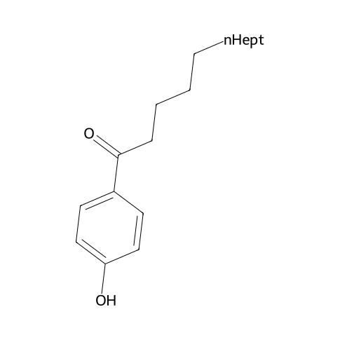 CCCCCCCCCCCC(=O)c1ccc(O)cc1